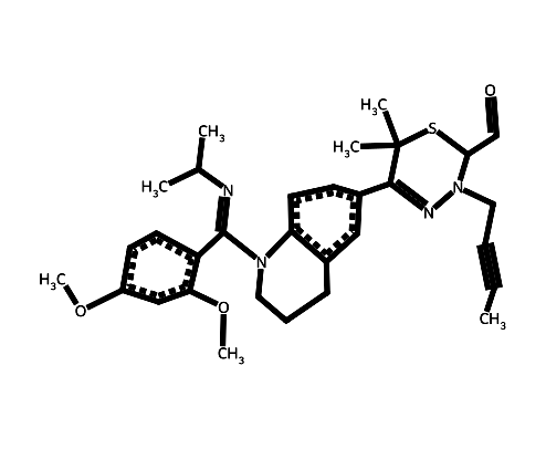 CC#CCN1N=C(c2ccc3c(c2)CCCN3C(=NC(C)C)c2ccc(OC)cc2OC)C(C)(C)SC1C=O